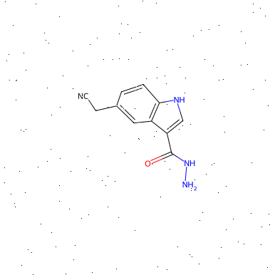 N#CCc1ccc2[nH]cc(C(=O)NN)c2c1